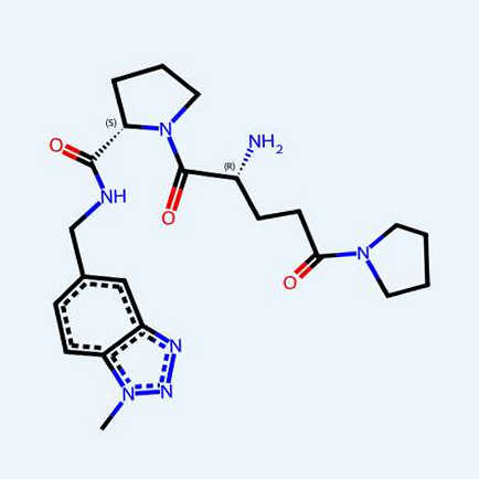 Cn1nnc2cc(CNC(=O)[C@@H]3CCCN3C(=O)[C@H](N)CCC(=O)N3CCCC3)ccc21